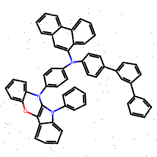 c1ccc(-c2cccc(-c3ccc(N(c4ccc(N5c6ccccc6Oc6c5n(-c5ccccc5)c5ccccc65)cc4)c4cc5ccccc5c5ccccc45)cc3)c2)cc1